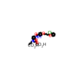 O=C(O)CCCN1CC(OC(=O)O)Oc2c(NC(=O)c3ccc(OCCCCOc4ccccc4Cl)cc3)cccc21